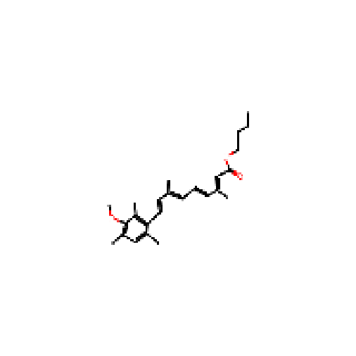 CCCCOC(=O)C=C(C)C=CC=C(C)C=Cc1c(C)cc(C)c(OC)c1C